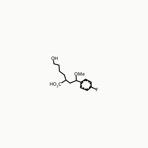 COC(CC(CCCCO)C(=O)O)c1ccc(F)cc1